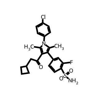 Cc1c(C(=O)CC2CCC2)c(-c2ccc(S(N)(=O)=O)c(F)c2)c(C)n1-c1ccc(Cl)cc1